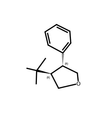 CC(C)(C)[C@@H]1COC[C@H]1c1ccccc1